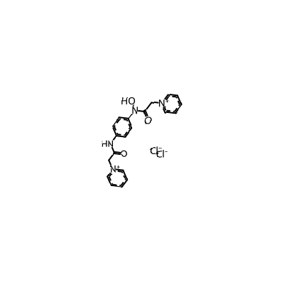 O=C(C[n+]1ccccc1)Nc1ccc(N(O)C(=O)C[n+]2ccccc2)cc1.[Cl-].[Cl-]